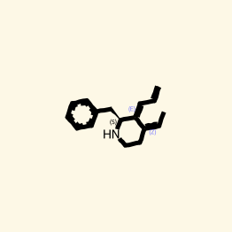 C=C/C=C1\C(=C/C)CCN[C@H]1Cc1ccccc1